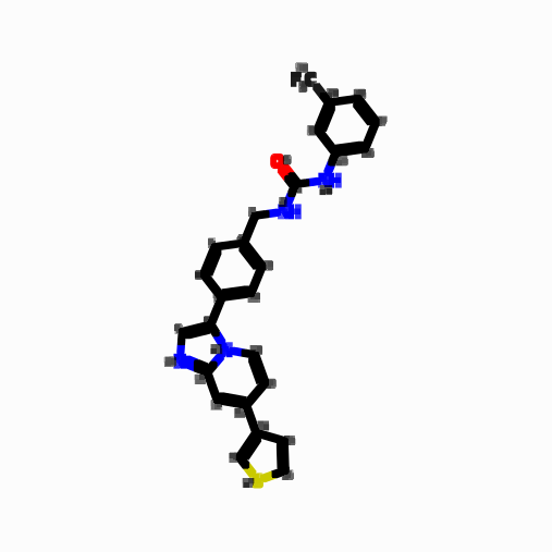 O=C(NCc1ccc(-c2cnc3cc(-c4ccsc4)ccn23)cc1)Nc1cccc(C(F)(F)F)c1